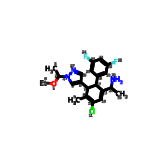 CCOC(C)n1cc(C2C(C)=C(Cl)C=C(C(C)N)C2c2cc(F)cc(F)c2)cn1